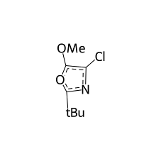 COc1oc(C(C)(C)C)nc1Cl